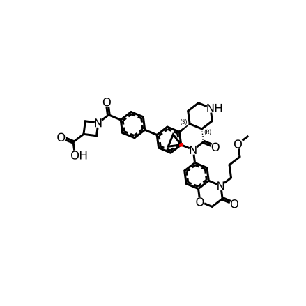 COCCCN1C(=O)COc2ccc(N(C(=O)[C@H]3CNCC[C@@H]3c3cccc(-c4ccc(C(=O)N5CC(C(=O)O)C5)cc4)c3)C3CC3)cc21